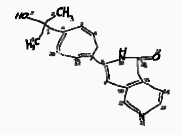 CC(C)(O)c1ccc(-c2cc3cnccc3c(=O)[nH]2)cc1